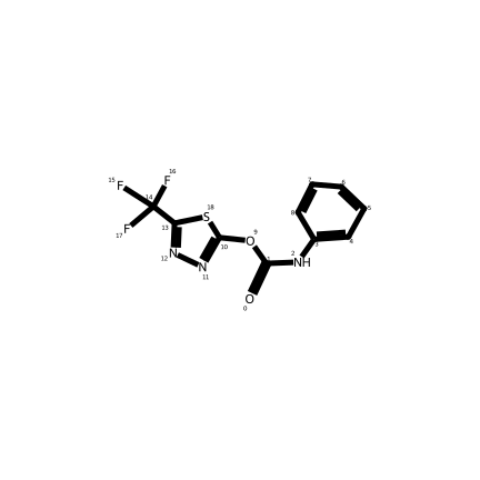 O=C(Nc1ccccc1)Oc1nnc(C(F)(F)F)s1